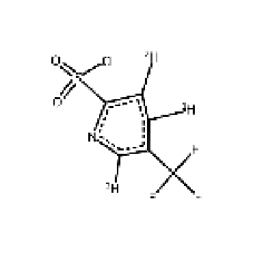 [2H]c1nc(S(=O)(=O)Cl)c([2H])c([2H])c1C(F)(F)F